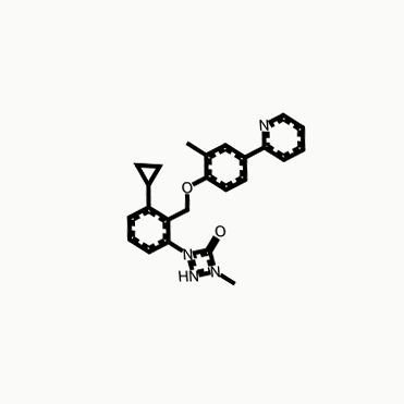 Cc1cc(-c2ccccn2)ccc1OCc1c(C2CC2)cccc1-n1[nH]n(C)c1=O